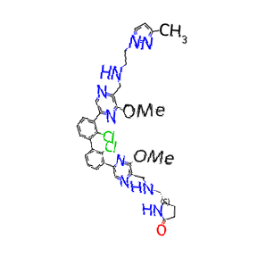 COc1nc(-c2cccc(-c3cccc(-c4cnc(CNC[C@@H]5CCC(=O)N5)c(OC)n4)c3Cl)c2Cl)cnc1CNCCn1ccc(C)n1